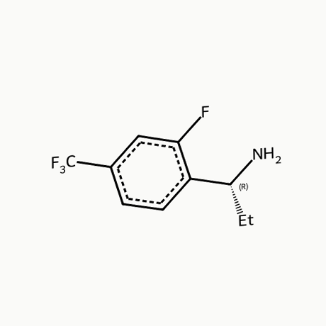 CC[C@@H](N)c1ccc(C(F)(F)F)cc1F